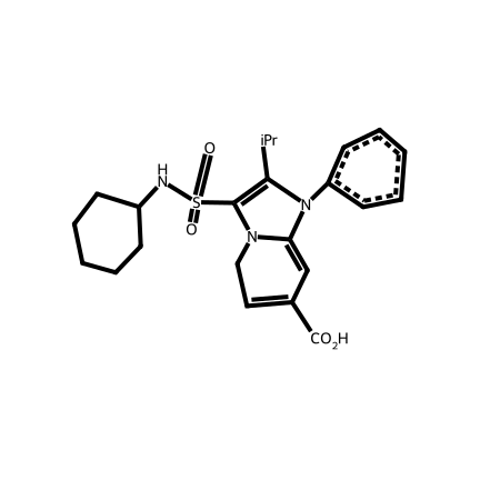 CC(C)C1=C(S(=O)(=O)NC2CCCCC2)N2CC=C(C(=O)O)C=C2N1c1ccccc1